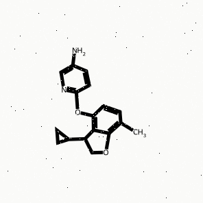 Cc1ccc(Oc2ccc(N)cn2)c2c1OCC2C1CC1